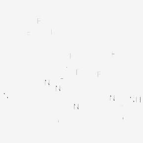 O=C(c1cc(-c2cccnc2)n(-c2ccc(C(F)(F)F)cc2C(F)(F)F)n1)N1CCC(n2c(=O)[nH]c3ccc(F)c(F)c32)CC1